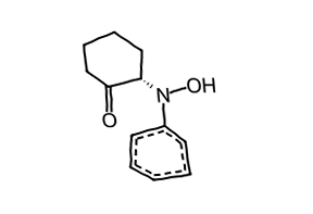 O=C1CCCC[C@@H]1N(O)c1ccccc1